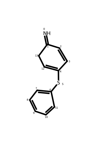 N=C1C=CC(Sc2ccccc2)=CC1